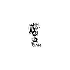 C=C(N)NC(=O)C(/N=C\C(=C)[C@H]1CC[C@@H](COC)O1)=C(/C)C(=C)C